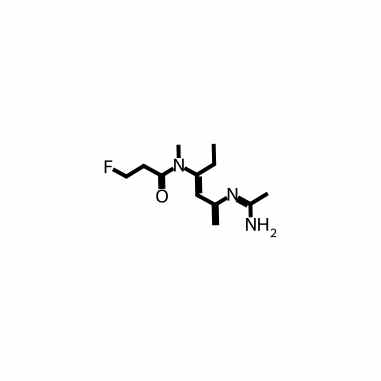 C=C(/C=C(\CC)N(C)C(=O)CCF)/N=C(/C)N